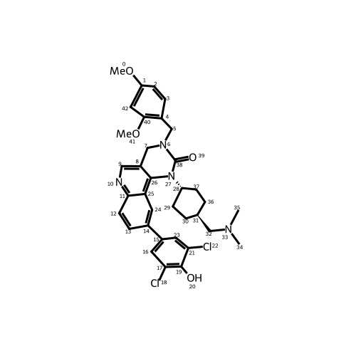 COc1ccc(CN2Cc3cnc4ccc(-c5cc(Cl)c(O)c(Cl)c5)cc4c3N([C@H]3CC[C@H](CN(C)C)CC3)C2=O)c(OC)c1